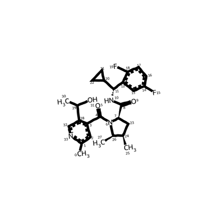 Cc1cc(C(=O)N2[C@@H](C(=O)N[C@@H](c3cc(F)ccc3F)C3CC3)C[C@@H](C)[C@H]2C)c(C(C)O)cn1